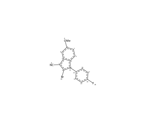 COc1ccc2c(c1)c(C#N)c(Br)n2-c1ccc(F)cc1